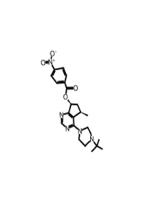 C[C@@H]1C[C@H](OC(=O)c2ccc([N+](=O)[O-])cc2)c2ncnc(N3CCN(C(C)(C)C)CC3)c21